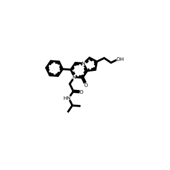 CC(C)NC(=O)Cn1c(-c2ccccc2)cn2cc(CCO)cc2c1=O